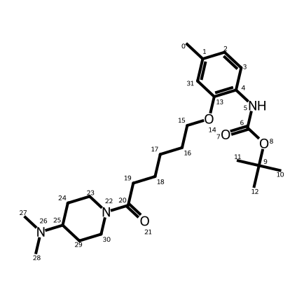 Cc1ccc(NC(=O)OC(C)(C)C)c(OCCCCCC(=O)N2CCC(N(C)C)CC2)c1